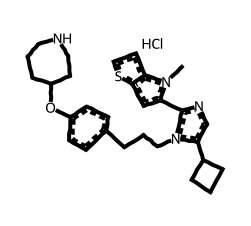 Cl.Cn1c(-c2ncc(C3CCC3)n2CCCc2ccc(OC3CCCNCC3)cc2)cc2sccc21